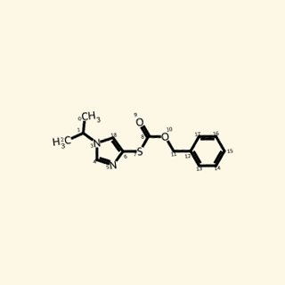 CC(C)n1cnc(SC(=O)OCc2ccccc2)c1